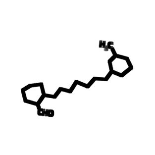 CC1CCCC(CCCCCCCC2CCCCC2C=O)C1